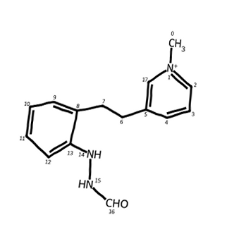 C[n+]1cccc(CCc2ccccc2NNC=O)c1